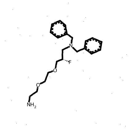 NCCOCCOC[C@@H](F)CN(Cc1ccccc1)Cc1ccccc1